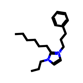 CCCCCCc1n(CCC)cc[n+]1CCCc1ccccc1